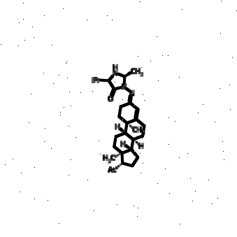 CC(=O)[C@H]1CC[C@H]2[C@@H]3CCC4=C/C(=N/N5C(=O)C(C(C)C)N[C@H]5C)CC[C@]4(C)[C@H]3CC[C@]12C